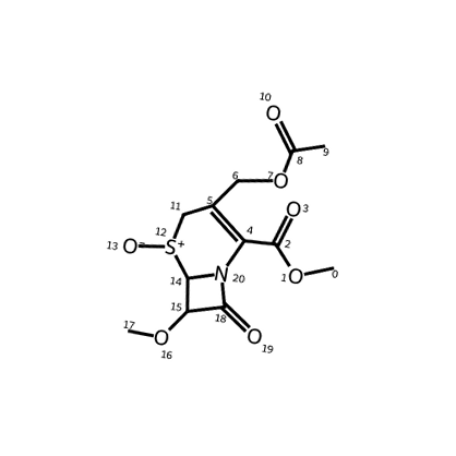 COC(=O)C1=C(COC(C)=O)C[S+]([O-])C2C(OC)C(=O)N12